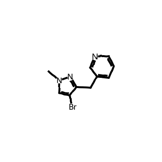 Cn1cc(Br)c(Cc2cccnc2)n1